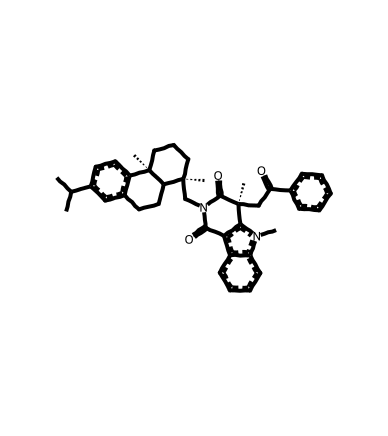 CC(C)c1ccc2c(c1)CCC1[C@](C)(CN3C(=O)c4c(n(C)c5ccccc45)[C@](C)(CC(=O)c4ccccc4)C3=O)CCC[C@]21C